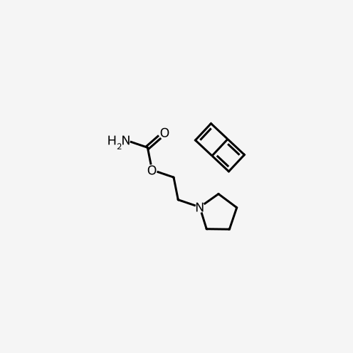 NC(=O)OCCN1CCCC1.c1cc2ccc1-2